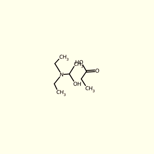 CCC(=O)O.CCN(CC)C(C)O